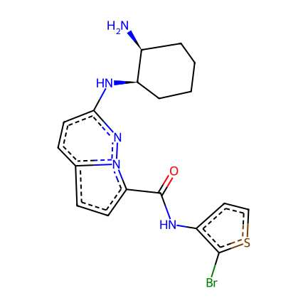 N[C@H]1CCCC[C@H]1Nc1ccc2ccc(C(=O)Nc3ccsc3Br)n2n1